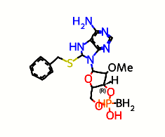 B[PH]1(O)OCC2OC(N3c4ncnc(N)c4NC3SCc3ccccc3)C(OC)[C@@H]2O1